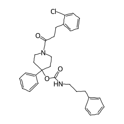 O=C(NCCCc1ccccc1)OC1(c2ccccc2)CCN(C(=O)CCc2ccccc2Cl)CC1